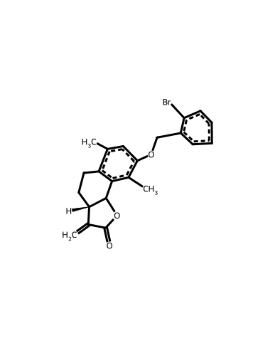 C=C1C(=O)OC2c3c(C)c(OCc4ccccc4Br)cc(C)c3CC[C@@H]12